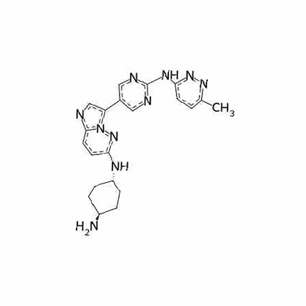 Cc1ccc(Nc2ncc(-c3cnc4ccc(N[C@H]5CC[C@H](N)CC5)nn34)cn2)nn1